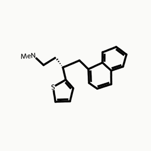 CNCC[C@H](Cc1cccc2ccccc12)c1cccs1